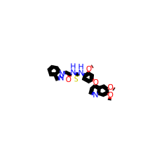 COc1cc(Oc2ccnc3cc(OC)c(OC)cc23)ccc1NC(=S)NC(=O)Cn1ncc2ccccc21